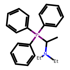 CCN(CC)C(C)[P](c1ccccc1)(c1ccccc1)c1ccccc1